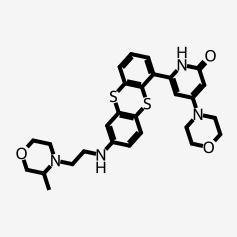 CC1COCCN1CCNc1ccc2c(c1)Sc1cccc(-c3cc(N4CCOCC4)cc(=O)[nH]3)c1S2